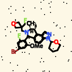 COc1cc(Br)cc(F)c1[C@@H]1c2ccc3c(cnn3C3CCCCO3)c2C[C@@H](C)N1CC1(CF)COC1